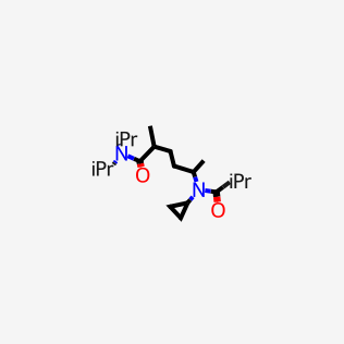 CC(C)C(=O)N(C(C)CCC(C)C(=O)N(C(C)C)C(C)C)C1CC1